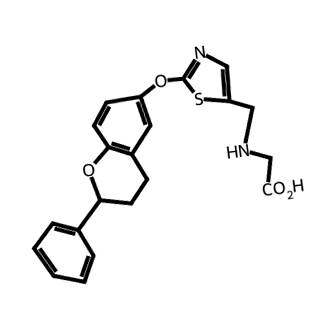 O=C(O)CNCc1cnc(Oc2ccc3c(c2)CCC(c2ccccc2)O3)s1